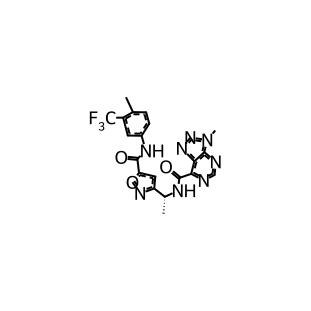 Cc1ccc(NC(=O)c2cc([C@@H](C)NC(=O)c3ncnc4c3nnn4C)no2)cc1C(F)(F)F